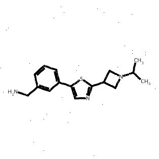 CC(C)N1CC(c2ncc(-c3cccc(CN)c3)s2)C1